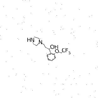 OC(CCN1CCNCC1)c1ccccc1OCC(F)(F)F